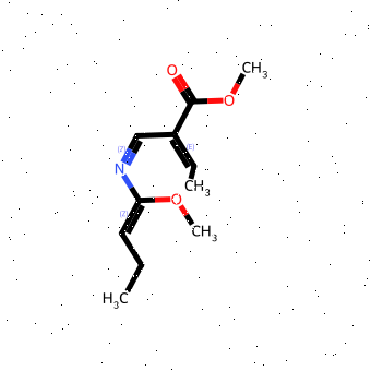 C\C=C(/C=N\C(=C\CC)OC)C(=O)OC